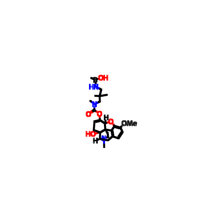 COc1ccc2c3c1O[C@H]1C(OC(=O)N(C)CC(C)(C)CNB(C)O)=CC[C@@]4(O)[C@@H](C2)N(C)CC[C@]314